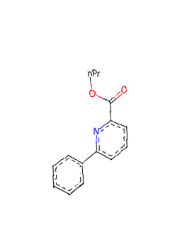 CCCOC(=O)c1cccc(-c2ccccc2)n1